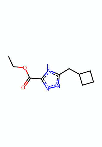 CCOC(=O)c1nnc(CC2CCC2)[nH]1